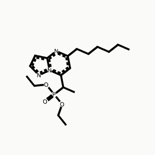 CCCCCCc1cc(C(C)P(=O)(OCC)OCC)n2nccc2n1